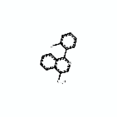 O=C(O)c1cnc(-c2ccccc2Cl)c2ccccc12